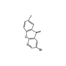 C=C1c2cc(I)ccc2Oc2ncc(Br)cc21